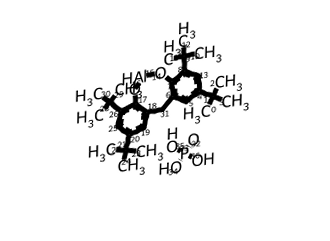 CC(C)(C)c1cc2c(c(C(C)(C)C)c1)[O][AlH][O]c1c(cc(C(C)(C)C)cc1C(C)(C)C)C2.O=P(O)(O)O